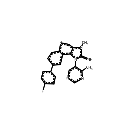 Cc1ncncc1-n1c(=N)n(C)c2cnc3ccc(-c4ccc(F)cc4)cc3c21